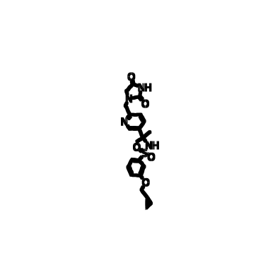 CC(C)(NS(=O)(=O)c1cccc(OCC2CC2)c1)c1ccc(CN2CC(=O)NC2=O)nc1